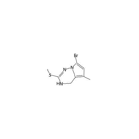 CSC1=Nn2c(Br)cc(C)c2CN1